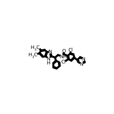 Cc1cc2nc(C(CNC(=O)c3c(Cl)cc(-c4cncnc4)cc3Cl)c3ccccc3)[nH]c2cc1C